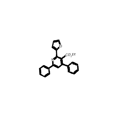 CCOC(=O)c1c(-c2ccccc2)cc(-c2ccccc2)nc1-c1ccco1